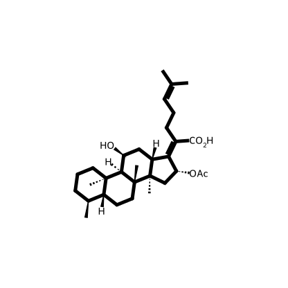 CC(=O)O[C@@H]1C[C@]2(C)[C@H](C[C@H](O)[C@@H]3[C@]4(C)CCC[C@H](C)[C@H]4CC[C@]32C)/C1=C(\CCC=C(C)C)C(=O)O